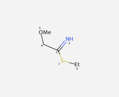 CCSC(=N)COC